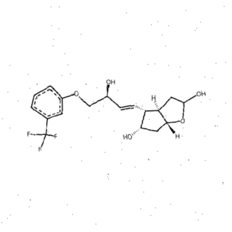 OC1C[C@@H]2[C@@H](/C=C/[C@H](O)COc3cccc(C(F)(F)F)c3)[C@@H](O)C[C@H]2O1